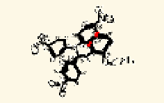 COc1ccccc1/C=C(\B(c1ccc([N+](=O)[O-])cc1)c1ccc([N+](=O)[O-])cc1)c1ccc([N+](=O)[O-])cc1